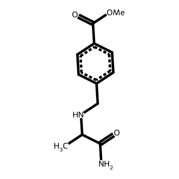 COC(=O)c1ccc(CNC(C)C(N)=O)cc1